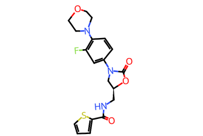 O=C(NC[C@H]1CN(c2ccc(N3CCOCC3)c(F)c2)C(=O)O1)c1cccs1